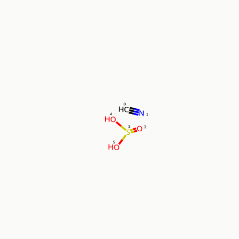 C#N.O=S(O)O